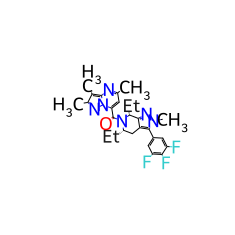 CC[C@H]1Cc2c(nn(C)c2-c2cc(F)c(F)c(F)c2)[C@@H](CC)N1C(=O)c1cc(C)nc2c(C)c(C)nn12